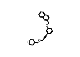 C(#Cc1cccc(OCc2ccc3ccccc3c2)c1)COCC1CCOCC1